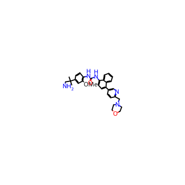 COc1cc(C(C)(C)CN)ccc1NC(=O)Nc1ccc(-c2ccc(CN3CCOCC3)nc2)c2ccccc12